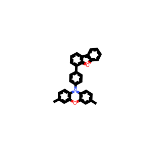 Cc1ccc2c(c1)Oc1cc(C)ccc1N2c1ccc(-c2cccc3c2oc2ccccc23)cc1